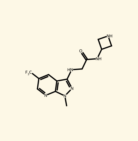 Cn1nc(NCC(=O)NC2CNC2)c2cc(C(F)(F)F)cnc21